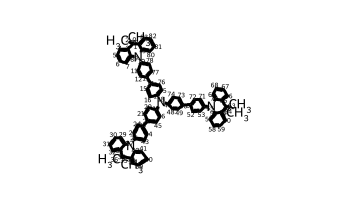 CC1(C)c2ccccc2N(c2ccc(-c3ccc(N(c4ccc(-c5ccc(N6c7ccccc7C(C)(C)c7ccccc76)cc5)cc4)c4ccc(-c5ccc(N6c7ccccc7C(C)(C)c7ccccc76)cc5)cc4)cc3)cc2)c2ccccc21